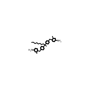 CCCCCCCCC(C)(c1ccc(Cc2ccc(N)cc2C)cc1)c1ccc(Cc2ccc(N)cc2C)cc1